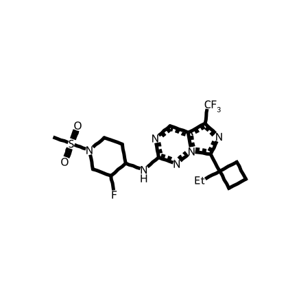 CCC1(c2nc(C(F)(F)F)c3cnc(NC4CCN(S(C)(=O)=O)CC4F)nn23)CCC1